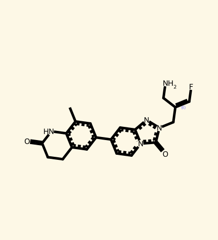 Cc1cc(-c2ccn3c(=O)n(C/C(=C/F)CN)nc3c2)cc2c1NC(=O)CC2